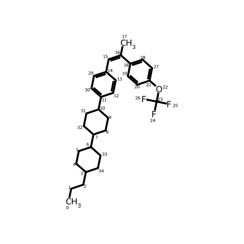 CCCC1CCC(C2CCC(c3ccc(C=C(C)c4ccc(OC(F)(F)F)cc4)cc3)CC2)CC1